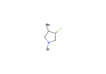 CC(C)N1CC(F)C(C(C)(C)C)C1